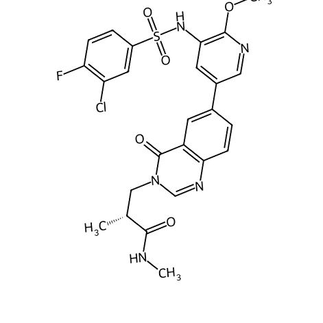 CNC(=O)[C@H](C)Cn1cnc2ccc(-c3cnc(OC)c(NS(=O)(=O)c4ccc(F)c(Cl)c4)c3)cc2c1=O